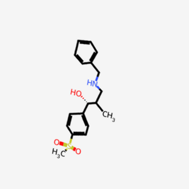 CC(CNCc1ccccc1)[C@@H](O)c1ccc(S(C)(=O)=O)cc1